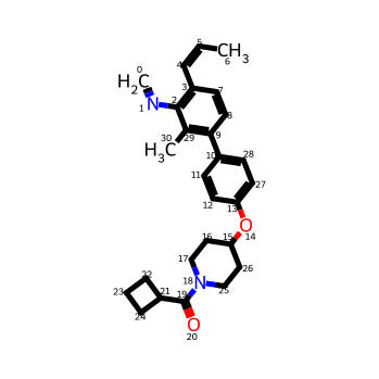 C=Nc1c(/C=C\C)ccc(-c2ccc(OC3CCN(C(=O)C4CCC4)CC3)cc2)c1C